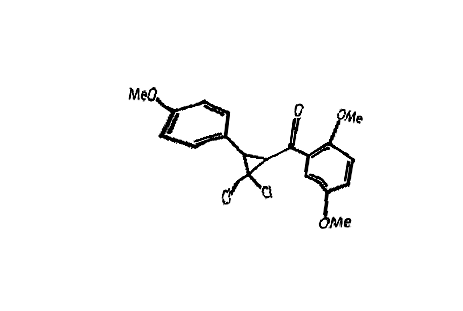 COc1ccc(C2C(C(=O)c3cc(OC)ccc3OC)C2(Cl)Cl)cc1